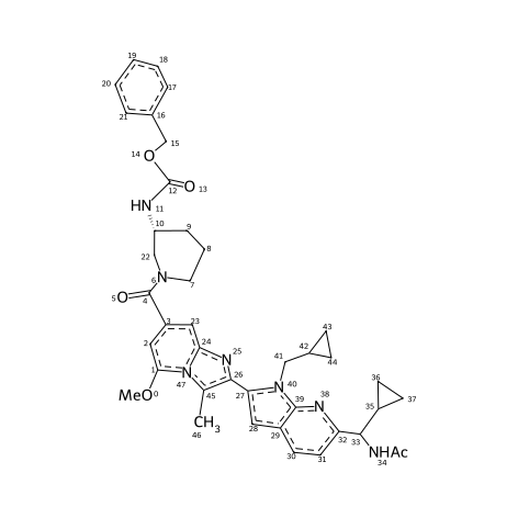 COc1cc(C(=O)N2CCC[C@@H](NC(=O)OCc3ccccc3)C2)cc2nc(-c3cc4ccc(C(NC(C)=O)C5CC5)nc4n3CC3CC3)c(C)n12